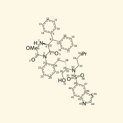 COC(=O)N(C(=O)[C@@H](N)C(c1ccccc1)c1ccccc1)c1ccccc1CC[C@@H](CO)N(CCC(C)C)S(=O)(=O)c1ccc2ncsc2c1